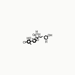 Cc1cc(Cl)cc(O)c1-c1ccc2oc(NCC[C@H]3CNCC(O)C3)nc2n1.O=CO